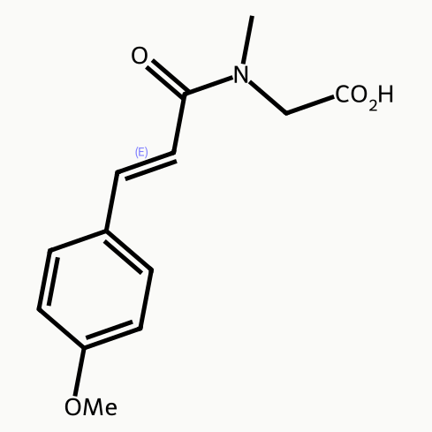 COc1ccc(/C=C/C(=O)N(C)CC(=O)O)cc1